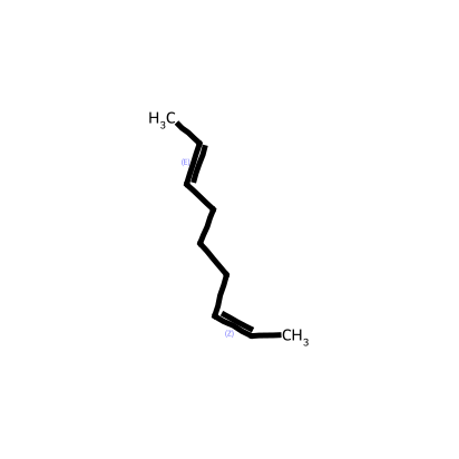 C/C=C\CCC/C=C/C